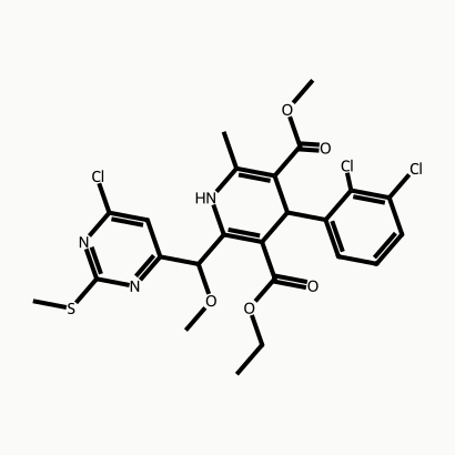 CCOC(=O)C1=C(C(OC)c2cc(Cl)nc(SC)n2)NC(C)=C(C(=O)OC)C1c1cccc(Cl)c1Cl